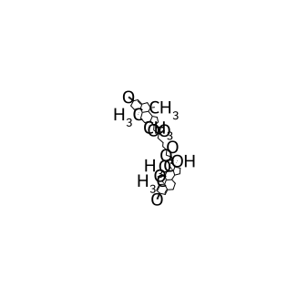 C[C@@H]1CC2=CC(=O)CC[C@]2(C)C2CC[C@]3(C)C(OC(=O)CCCC(=O)OCC(=O)[C@@]4(O)CCC5C6CCC7=CC(=O)C=C[C@]7(C)C6C(=O)C[C@@]54C)CCC3C21